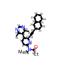 CCC(=O)N(NC)c1ccc(-c2c(C)ncnc2C)c(C#Cc2ccc3ccccc3c2)n1